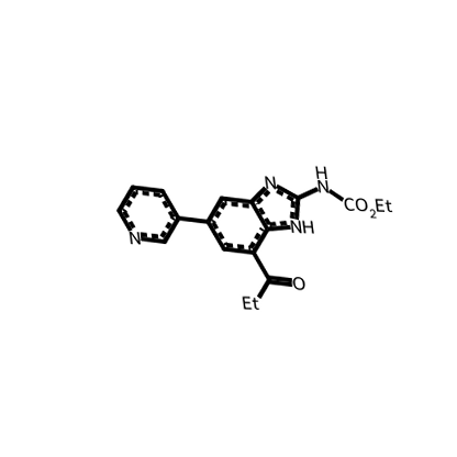 CCOC(=O)Nc1nc2cc(-c3cccnc3)cc(C(=O)CC)c2[nH]1